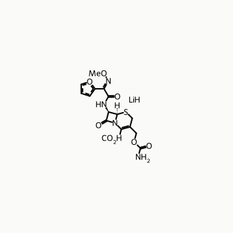 CO/N=C(/C(=O)N[C@@H]1C(=O)N2C(C(=O)O)=C(COC(N)=O)CS[C@H]12)c1ccco1.[LiH]